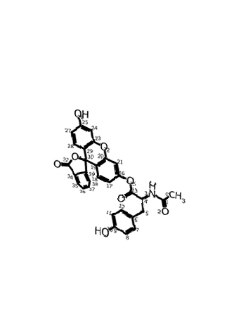 CC(=O)N[C@@H](Cc1ccc(O)cc1)C(=O)Oc1ccc2c(c1)Oc1cc(O)ccc1C21OC(=O)c2ccccc21